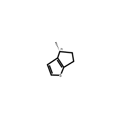 C[C@@H]1CCc2sccc21